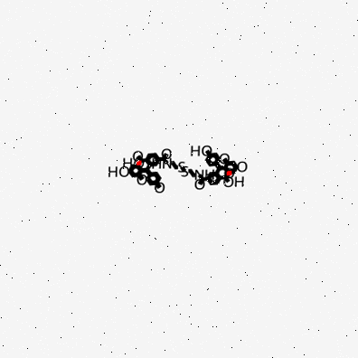 O=C(NCCSSCCNC(=O)c1ccc(C(=O)O)c(-c2c3ccc(=O)cc-3oc3cc(O)ccc23)c1)c1ccc(C(=O)O)c(-c2c3ccc(=O)cc-3oc3cc(O)ccc23)c1